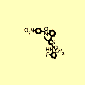 Cc1cccc(F)c1NC(=O)c1cc2c(s1)-c1ccccc1N(C(=O)c1ccc([N+](=O)[O-])cc1)CC2